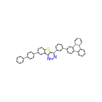 C1=CC2c3ccccc3-c3ccc(-c4cccc(-c5ncnc6c5sc5ccc(-c7ccc(-c8ccccc8)cc7)cc56)c4)cc3C2C=C1